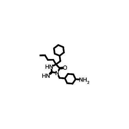 CCCCC1(CC2CCCCC2)NC(=N)N(CC2CCC(N)CC2)C1=O